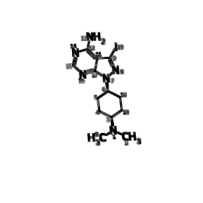 CN(C)[C@H]1CC[C@@H](n2nc(I)c3c(N)ncnc32)CC1